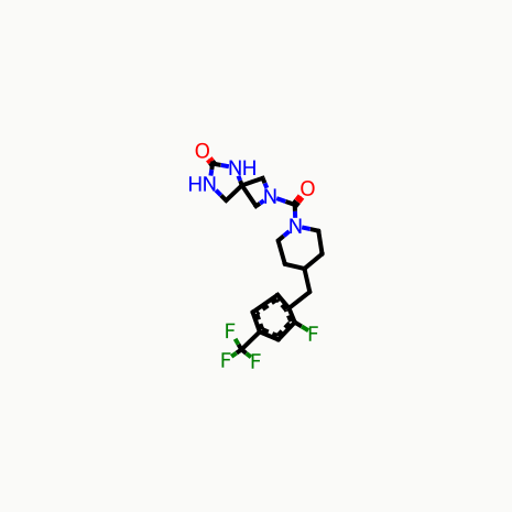 O=C1NCC2(CN(C(=O)N3CCC(Cc4ccc(C(F)(F)F)cc4F)CC3)C2)N1